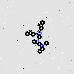 CC1(C)c2ccccc2-c2ccc(-c3nc(-c4ccc5c(c4)C(C)(C)c4ccccc4-5)c4cc(-n5c6ccccc6c6cc7c8c9ccccc9ccc8n(-c8ccccc8)c7cc65)ccc4n3)cc21